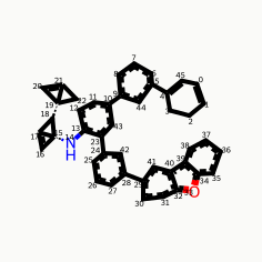 C1=CCCC(c2cccc(-c3ccc(N[C@]45C=C4C5[C@]45C=C4C5)c(-c4cccc(-c5ccc6oc7ccccc7c6c5)c4)c3)c2)=C1